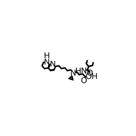 CCC(CC)C(=O)NC(CCN(CCCCCc1ccc2c(n1)NCCC2)C1CC1)C(=O)O